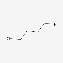 FCCCCCl